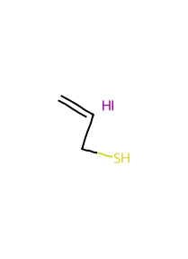 C=CCS.I